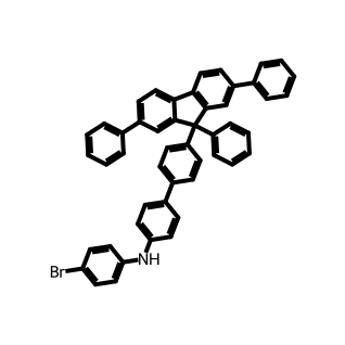 Brc1ccc(Nc2ccc(-c3ccc(C4(c5ccccc5)c5cc(-c6ccccc6)ccc5-c5ccc(-c6ccccc6)cc54)cc3)cc2)cc1